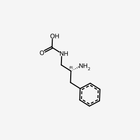 N[C@@H](CNC(=O)O)Cc1ccccc1